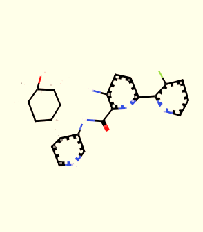 CC[C@]1(O)[C@H](O)C[C@H](c2ccncc2NC(=O)c2nc(-c3ncccc3F)ccc2N)C[C@@H]1C